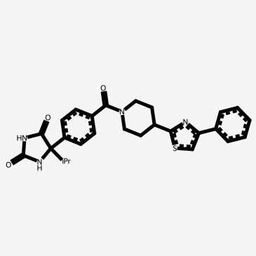 CC(C)C1(c2ccc(C(=O)N3CCC(c4nc(-c5ccccc5)cs4)CC3)cc2)NC(=O)NC1=O